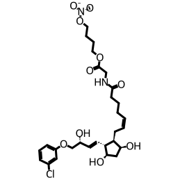 O=C(CCC/C=C\C[C@@H]1[C@@H](/C=C/[C@@H](O)COc2cccc(Cl)c2)[C@H](O)C[C@@H]1O)NCC(=O)OCCCCO[N+](=O)[O-]